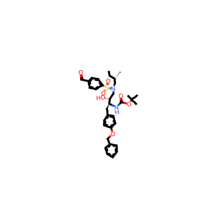 CC[C@H](C)CN(C[C@@H](O)[C@H](Cc1ccc(OCc2ccccc2)cc1)NC(=O)OC(C)(C)C)S(=O)(=O)c1ccc(C=O)cc1